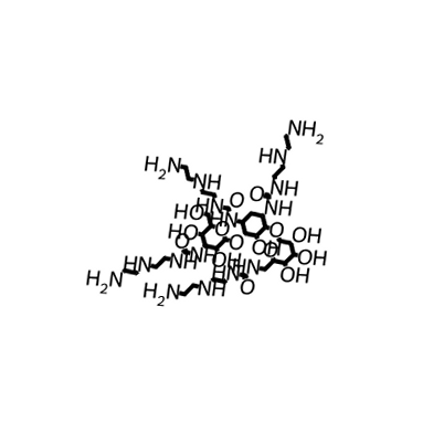 NCCNCCNC(=O)NCC1OC(OC2C(NC(=O)NCCNCCN)CC(NC(=O)NCCNCCN)C(OC3OC(CO)C(O)C(NC(=O)NCCNCCN)C3O)C2O)C(O)C(O)C1O